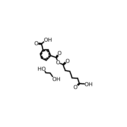 O=C(O)CCCCC(=O)OC(=O)c1cccc(C(=O)O)c1.OCCO